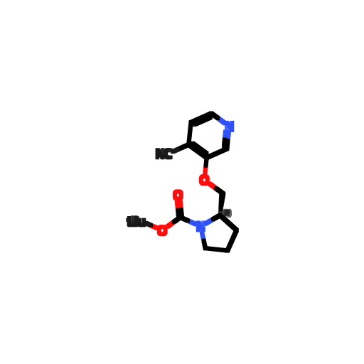 CC(C)(C)OC(=O)N1CCC[C@@H]1COc1cnccc1C#N